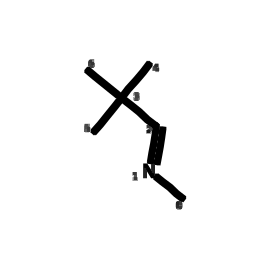 CN=CC(C)(C)C